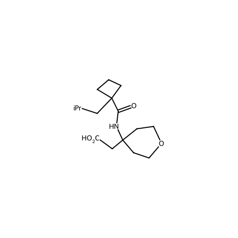 CC(C)CC1(C(=O)NC2(CC(=O)O)CCOCC2)CCC1